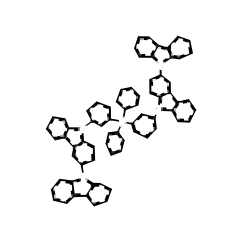 c1ccc(S(c2ccccc2)(c2cccc(-n3c4ccccc4c4cc(-n5c6ccccc6c6ccccc65)ccc43)c2)c2cccc(-n3c4ccccc4c4cc(-n5c6ccccc6c6ccccc65)ccc43)c2)cc1